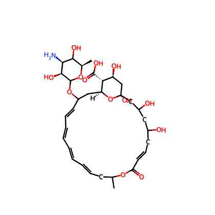 CC1C/C=C/C=C/C=C/C=C/C(OC2O[C@H](C)C(O)[C@H](N)[C@@H]2O)C[C@@H]2OC(O)(CC(O)CC(O)C/C=C/C(=O)O1)C[C@H](O)[C@H]2C(=O)O